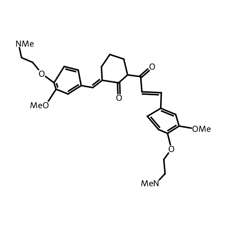 CNCCOc1ccc(/C=C/C(=O)C2CCC/C(=C\c3ccc(OCCNC)c(OC)c3)C2=O)cc1OC